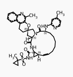 Cc1ccnc(N[C@H]2CCCCCC=C[C@@H]3C[C@@]3(C(=O)NS(=O)(=O)C3(C)CC3)NC(=O)[C@@H]3C[C@]4(CCc5c(c(C)nc6ccccc56)O4)CN3C2=O)c1